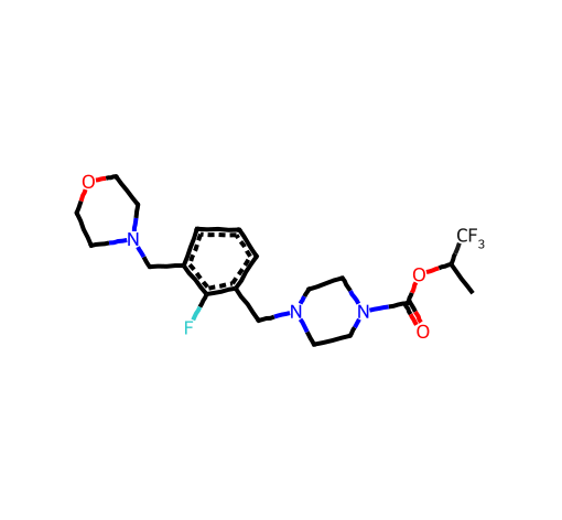 CC(OC(=O)N1CCN(Cc2cccc(CN3CCOCC3)c2F)CC1)C(F)(F)F